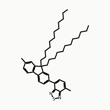 CCCCCCCCCCCCC1(CCCCCCCCCCCC)c2cc(C)ccc2-c2ccc(-c3ccc(C)c4nsnc34)cc21